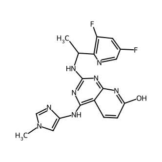 CC(Nc1nc(Nc2cn(C)cn2)c2ccc(O)nc2n1)c1ncc(F)cc1F